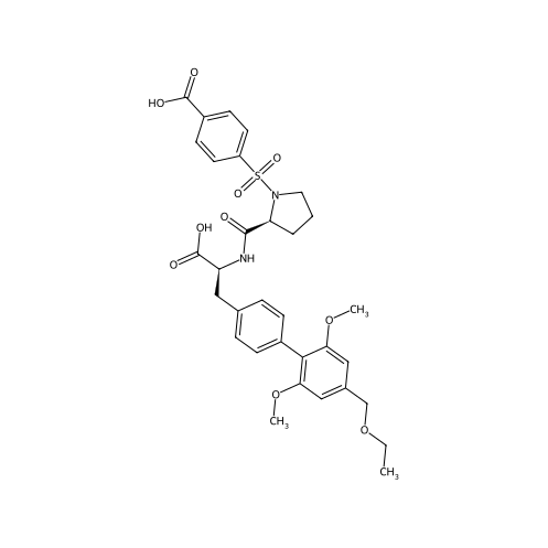 CCOCc1cc(OC)c(-c2ccc(C[C@H](NC(=O)[C@@H]3CCCN3S(=O)(=O)c3ccc(C(=O)O)cc3)C(=O)O)cc2)c(OC)c1